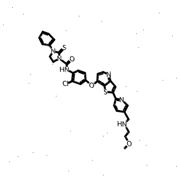 COCCNCc1ccc(-c2cc3nccc(Oc4ccc(NC(=O)N5CCN(c6ccccc6)C5=S)c(Cl)c4)c3s2)nc1